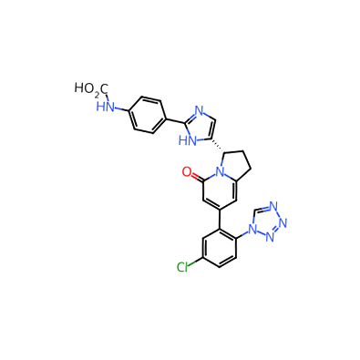 O=C(O)Nc1ccc(-c2ncc([C@@H]3CCc4cc(-c5cc(Cl)ccc5-n5cnnn5)cc(=O)n43)[nH]2)cc1